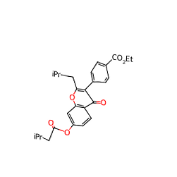 CCOC(=O)c1ccc(-c2c(CC(C)C)oc3cc(OC(=O)CC(C)C)ccc3c2=O)cc1